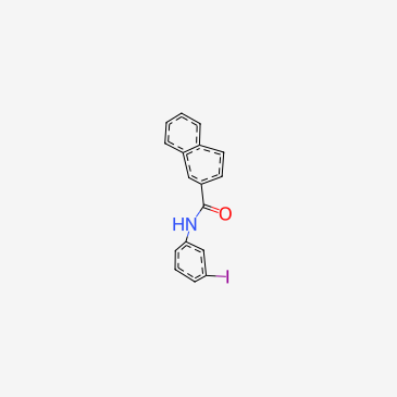 O=C(Nc1cccc(I)c1)c1ccc2ccccc2c1